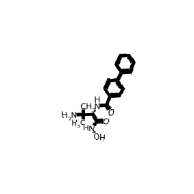 CC(C)(N)[C@H](NC(=O)c1ccc(-c2ccccc2)cc1)C(=O)NO